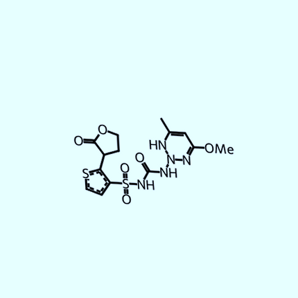 COC1=NN(NC(=O)NS(=O)(=O)c2ccsc2C2CCOC2=O)NC(C)=C1